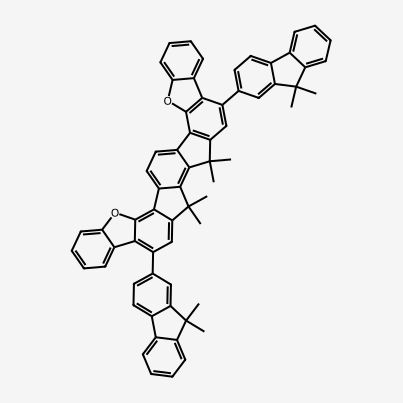 CC1(C)c2ccccc2-c2ccc(-c3cc4c(c5oc6ccccc6c35)-c3ccc5c(c3C4(C)C)C(C)(C)c3cc(-c4ccc6c(c4)C(C)(C)c4ccccc4-6)c4c(oc6ccccc64)c3-5)cc21